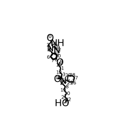 O=C1CN2Cc3ccc(OCCCCC(=O)N(CCCCCCO)C4CCCCC4)cc3N=C2N1